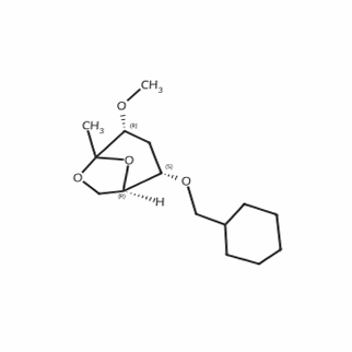 CO[C@@H]1C[C@H](OCC2CCCCC2)[C@H]2COC1(C)O2